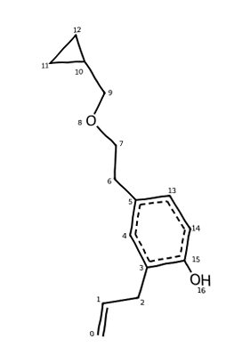 C=CCc1cc(CCOCC2CC2)ccc1O